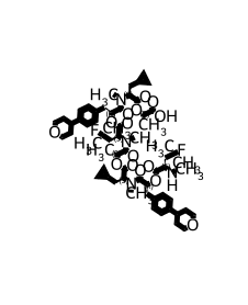 CN[C@@H](CC(C)(C)F)C(=O)O[C@H](Cc1ccc(C2CCOCC2)cc1)C(=O)N(C)[C@@H](CC1CC1)C(=O)O[C@H](C)C(=O)N(C)[C@@H](CC(C)(C)F)C(=O)O[C@H](Cc1ccc(C2CCOCC2)cc1)C(=O)N(C)[C@@H](CC1CC1)C(=O)O[C@H](C)C(=O)O